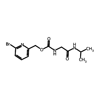 CC(C)NC(=O)CNC(=O)OCc1cccc(Br)n1